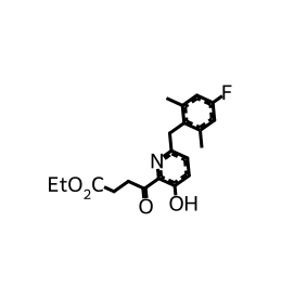 CCOC(=O)CCC(=O)c1nc(Cc2c(C)cc(F)cc2C)ccc1O